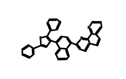 c1ccc(-c2cc(-c3ccc(-c4ccc5ccc6cccnc6c5n4)c4ccccc34)c(-c3ccccc3)s2)cc1